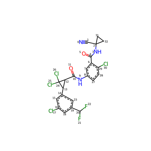 N#CC1(NC(=O)c2cc(NC(=O)C3C(c4cc(Cl)cc(C(F)F)c4)C3(Cl)Cl)ccc2Cl)CC1